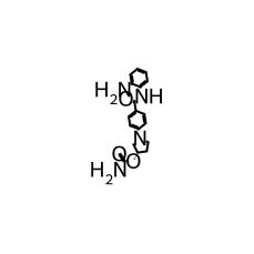 NC(=O)O[C@H]1CCN(c2ccc(C(=O)Nc3ccccc3N)cc2)C1